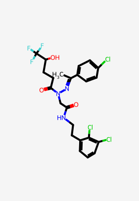 C/C(=N\N(CC(=O)NCCc1cccc(Cl)c1Cl)C(=O)CCC(O)C(F)(F)F)c1ccc(Cl)cc1